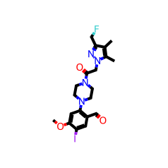 COc1cc(N2CCN(C(=O)Cn3nc(CF)c(C)c3C)CC2)c(C=O)cc1I